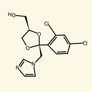 OC[C@@H]1CO[C@@](Cn2ccnc2)(c2ccc(Cl)cc2Cl)O1